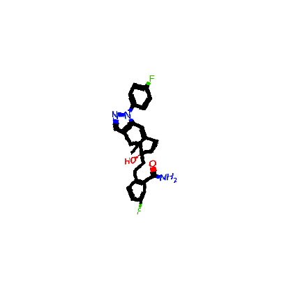 CC12Cc3cnn(-c4ccc(F)cc4)c3C=C1CC[C@@]2(O)CCc1ccc(F)cc1C(N)=O